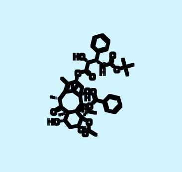 CC[C@]1(OC(C)=O)[C@H](O)C[C@H](O)[C@@]2(C)C(=O)[C@H](C)C3=C(C)[C@@H](OC(=O)[C@H](O)[C@@H](NC(=O)OC(C)(C)C)c4ccccc4)C[C@@](O)([C@@H](OC(=O)c4ccccc4)[C@H]12)C3(C)C